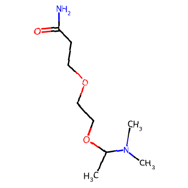 CC(OCCOCCC(N)=O)N(C)C